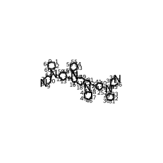 c1ccc(N(c2ccncc2)c2ccc(-c3cc4cc5c(cc(-c6ccc(N(c7ccccc7)c7ccncc7)cc6)n5-c5ccccc5)cc4n3-c3ccccc3)cc2)cc1